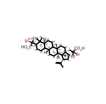 C=C(C)[C@@H]1CC[C@]2(CC(Br)(CC)C(=O)O)CC[C@]3(C)[C@H](CC[C@@H]4[C@@]5(C)CCC(C(Br)(CC)C(=O)O)C(C)(C)[C@@H]5CC[C@]43C)[C@@H]12